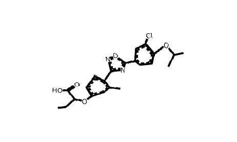 CCC(Oc1ccc(-c2noc(-c3ccc(OC(C)C)c(Cl)c3)n2)c(C)c1)C(=O)O